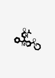 CC(C)n1nc(-c2c(-c3ccccc3)nn3ccc(C(=O)N4CCCCCC4)cc23)ccc1=O